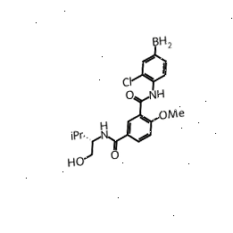 Bc1ccc(NC(=O)c2cc(C(=O)N[C@H](CO)C(C)C)ccc2OC)c(Cl)c1